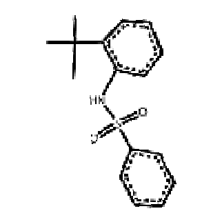 CC(C)(C)c1ccccc1NS(=O)(=O)c1ccccc1